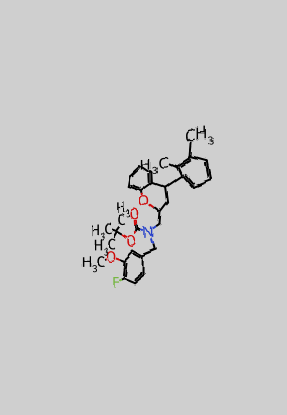 COc1cc(CN(CC2CC(c3cccc(C)c3C)c3ccccc3O2)C(=O)OC(C)(C)C)ccc1F